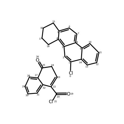 Clc1cc2c3c(ccc2c2ccccc12)CCCC3.O=C(Cl)C1=CCC(=O)c2ccccc21